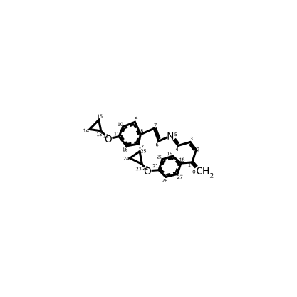 C=C(\C=C/C=N/C=C/c1ccc(OC2CC2)cc1)c1ccc(OC2CC2)cc1